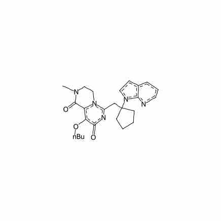 CCCCOc1c2n(c(CC3(n4ccc5cccnc54)CCCC3)nc1=O)CCN(C)C2=O